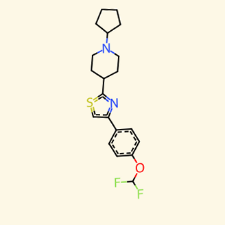 FC(F)Oc1ccc(-c2csc(C3CCN(C4CCCC4)CC3)n2)cc1